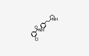 O=C(Nc1ccc(CCC2CCCN2)cc1)c1cccc(Cl)c1